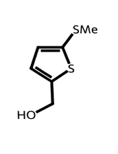 CSc1ccc(CO)s1